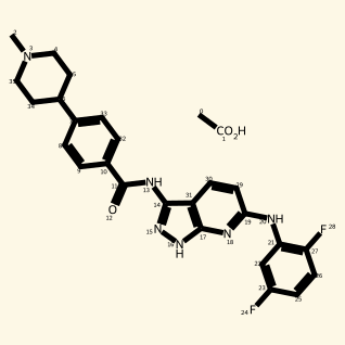 CC(=O)O.CN1CCC(c2ccc(C(=O)Nc3n[nH]c4nc(Nc5cc(F)ccc5F)ccc34)cc2)CC1